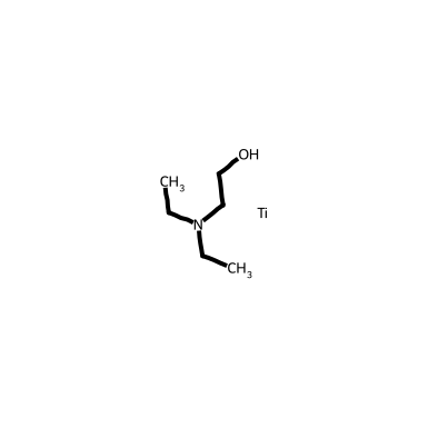 CCN(CC)CCO.[Ti]